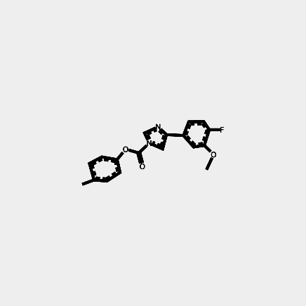 COc1cc(-c2cn(C(=O)Oc3ccc(C)cc3)cn2)ccc1F